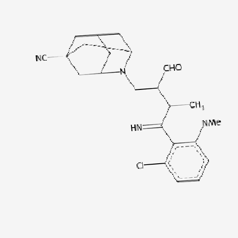 CNc1cccc(Cl)c1C(=N)C(C)C(C=O)CN1C2CC3CC1CC(C#N)(C3)C2